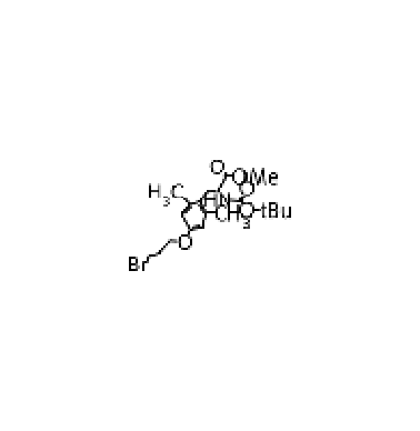 COC(=O)[C@H](Cc1c(C)cc(OCCCBr)cc1C)NC(=O)OC(C)(C)C